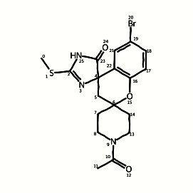 CSC1=NC2(CC3(CCN(C(C)=O)CC3)Oc3ccc(Br)cc32)C(=O)N1